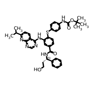 CC(C)c1ccc2c(Nc3cc(C(=O)N[C@@H](CCO)c4ccccc4)ccc3Sc3ccc(NC(=O)OC(C)(C)C)cc3)ncnc2n1